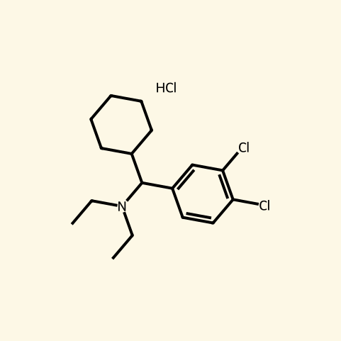 CCN(CC)C(c1ccc(Cl)c(Cl)c1)C1CCCCC1.Cl